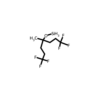 CC(CCC(F)(F)F)(CCC(F)(F)F)O[SiH3]